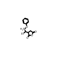 CCC([SiH2]Oc1ccccc1)C1CC(=O)OC1=O